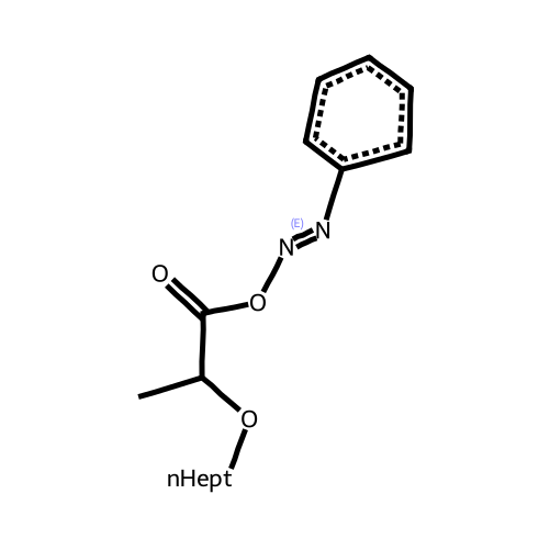 CCCCCCCOC(C)C(=O)O/N=N/c1ccccc1